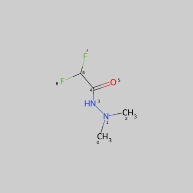 CN(C)NC(=O)C(F)F